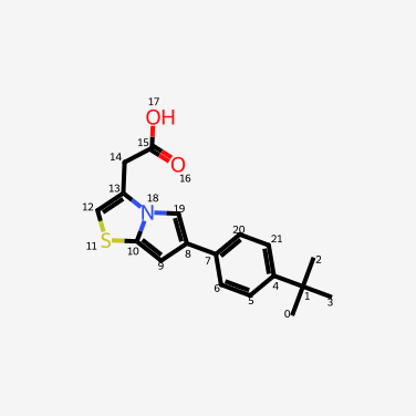 CC(C)(C)c1ccc(-c2cc3scc(CC(=O)O)n3c2)cc1